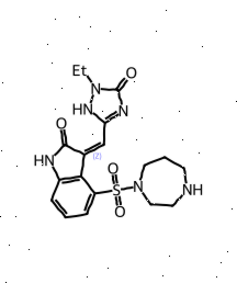 CCn1[nH]c(/C=C2\C(=O)Nc3cccc(S(=O)(=O)N4CCCNCC4)c32)nc1=O